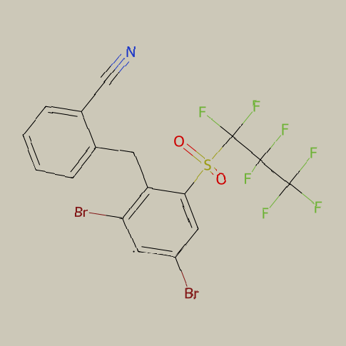 N#Cc1ccccc1Cc1c(Br)[c]c(Br)cc1S(=O)(=O)C(F)(F)C(F)(F)C(F)(F)F